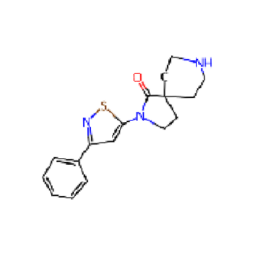 O=C1N(c2cc(-c3ccccc3)ns2)CCC12CCNCC2